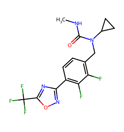 CNC(=O)N(Cc1ccc(-c2noc(C(F)(F)F)n2)c(F)c1F)C1CC1